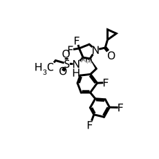 CCS(=O)(=O)N[C@@H]1[C@H](Cc2cccc(-c3cc(F)cc(F)c3)c2F)N(C(=O)C2CC2)CC1(F)F